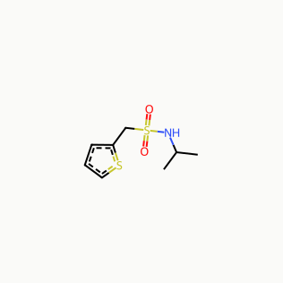 CC(C)NS(=O)(=O)Cc1cccs1